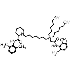 Cc1cccc(C)c1NC(=O)C[N+](CCCCCO)(CCCCCS)CCCCCCCN1CCCC[C@H]1C(=O)Nc1c(C)cccc1C